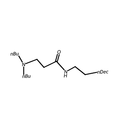 CCCCCCCCCCCCNC(=O)CCN(CCCC)CCCC